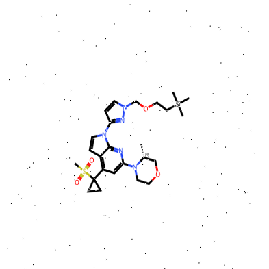 C[C@@H]1COCCN1c1cc(C2(S(C)(=O)=O)CC2)c2ccn(-c3ccn(COCC[Si](C)(C)C)n3)c2n1